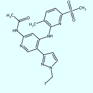 CC(=O)Nc1cc(Nc2nc(S(C)(=O)=O)ccc2C)c(-c2ccn(CI)n2)cn1